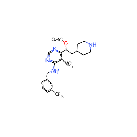 O=COC(CC1CCNCC1)c1ncnc(NCc2cccc(C(F)(F)F)c2)c1[N+](=O)[O-]